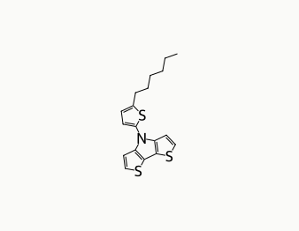 CCCCCCc1ccc(-n2c3ccsc3c3sccc32)s1